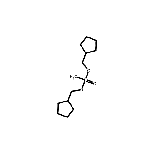 CP(=O)(OCC1CCCC1)OCC1CCCC1